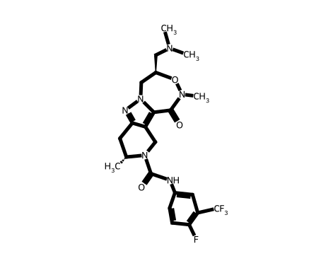 C[C@@H]1Cc2nn3c(c2CN1C(=O)Nc1ccc(F)c(C(F)(F)F)c1)C(=O)N(C)O[C@H](CN(C)C)C3